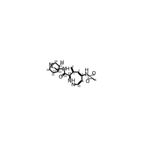 C=C1/C=C(/NS(C)(=O)=O)C=CN/N=C\1C(=O)N[C@@H]1CN2CCC1CC2